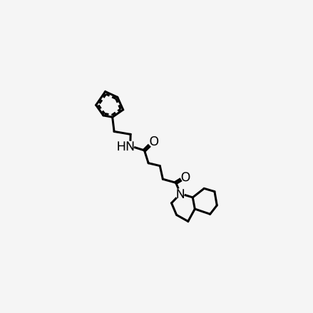 O=C(CCCC(=O)N1CCCC2CCCCC21)NCCc1ccccc1